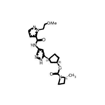 COCCn1nccc1C(=O)Nc1cc([C@H]2CC[C@@H](OC(=O)N3CC[C@H]3C)C2)[nH]n1